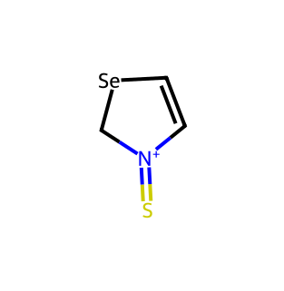 S=[N+]1C=C[Se]C1